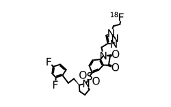 O=C1C(=O)N(Cc2cn(CC[18F])nn2)c2ccc(S(=O)(=O)N3CCC[C@H]3CCc3ccc(F)cc3F)cc21